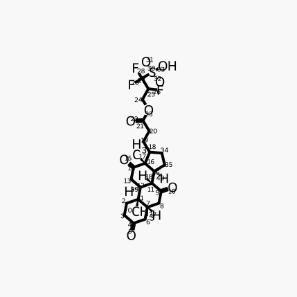 C[C@]12CCC(=O)C[C@H]1CC(=O)[C@@H]1[C@@H]2CC(=O)[C@]2(C)C(CCC(=O)OCC(F)C(F)(F)S(=O)(=O)O)CC[C@@H]12